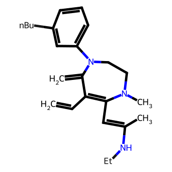 C=CC1=C(/C=C(\C)NCC)N(C)CCN(c2cccc(CCCC)c2)C1=C